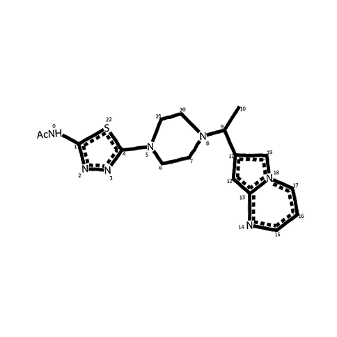 CC(=O)Nc1nnc(N2CCN(C(C)c3cc4ncccn4c3)CC2)s1